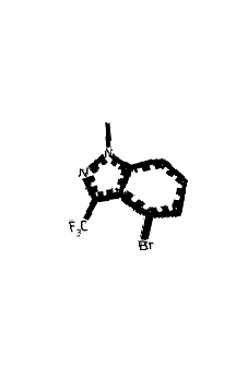 Cn1nc(C(F)(F)F)c2c(Br)cccc21